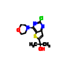 CC(C)(O)c1cc2nc(Cl)nc(N3CCOCC3)c2s1